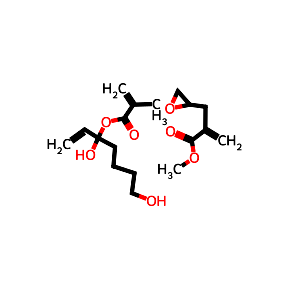 C=C(CC1CO1)C(=O)OC.C=CC(O)(CCCCO)OC(=O)C(=C)C